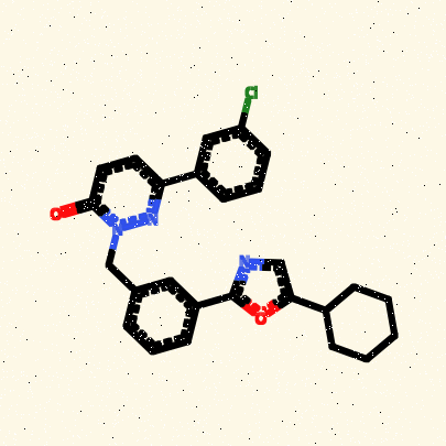 O=c1ccc(-c2cccc(Cl)c2)nn1Cc1cccc(-c2ncc(C3CCCCC3)o2)c1